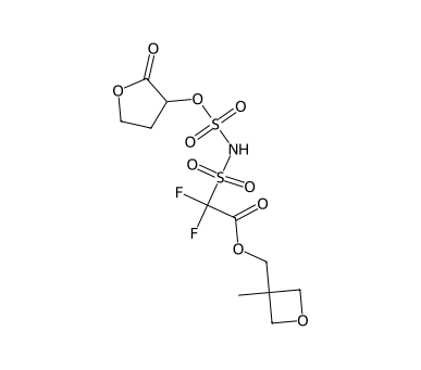 CC1(COC(=O)C(F)(F)S(=O)(=O)NS(=O)(=O)OC2CCOC2=O)COC1